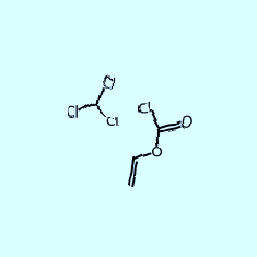 C=COC(=O)Cl.ClC(Cl)Cl